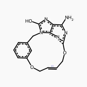 Nc1nc2nc3c1nc(O)n3Cc1cccc(c1)OC/C=C/CO2